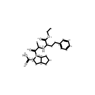 CCOC(=O)C(CCc1ccccc1)NC(C)C(=O)N1C2CCCC2C[C@H]1C(=O)O